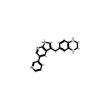 c1cncc(-c2cnc3[nH]cc(Cc4ccc5c(c4)OCCO5)c3c2)c1